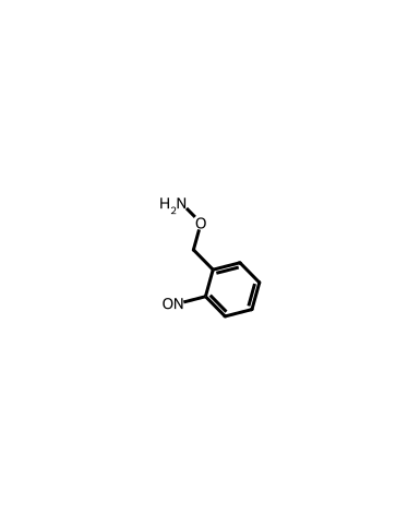 NOCc1ccccc1N=O